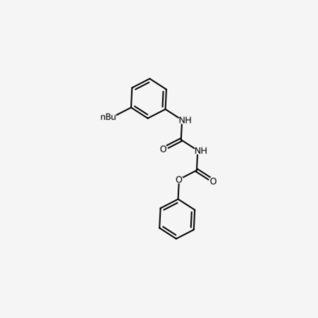 CCCCc1cccc(NC(=O)NC(=O)Oc2ccccc2)c1